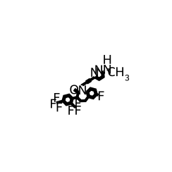 CNc1ccc(C#CCN2C(=O)C(c3ccc(C(F)(F)F)cc3C(F)(F)F)CCc3cc(F)ccc32)nn1